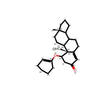 C[C@@]12CCCC1C1CCC3=CC(=O)CC(OC4=CCCCC4)[C@]3(C=O)C1CC2